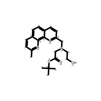 Cc1ccc2ccc3ccc(CN(CCO)CC(=O)OC(C)(C)C)nc3c2n1